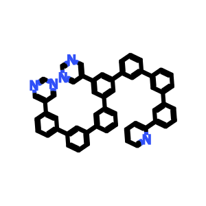 c1ccc(-c2cccc(-c3cccc(-c4cccc(-c5cc(-c6cncnc6)cc(-c6cccc(-c7cccc(-c8cccc(-c9cncnc9)c8)c7)c6)c5)c4)c3)c2)nc1